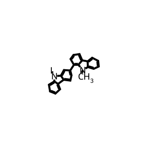 Cn1c2ccccc2c2cccc(-c3ccc4c5ccccc5n(I)c4c3)c21